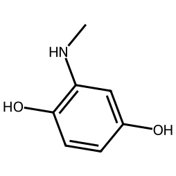 CNc1cc(O)ccc1O